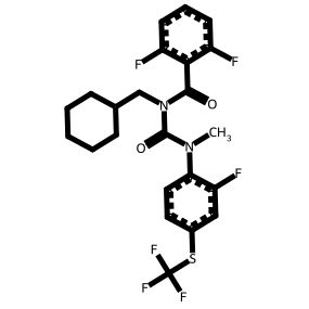 CN(C(=O)N(CC1CCCCC1)C(=O)c1c(F)cccc1F)c1ccc(SC(F)(F)F)cc1F